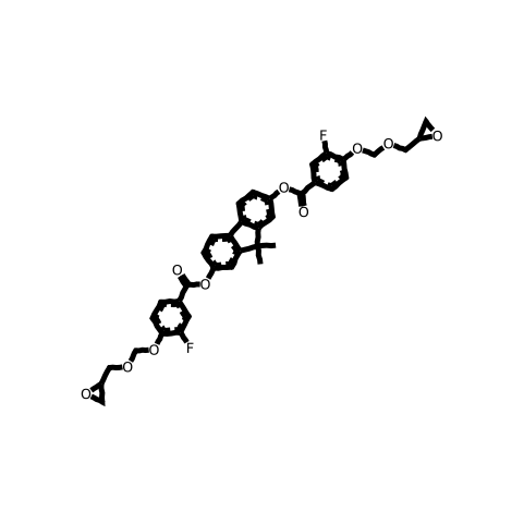 CC1(C)c2cc(OC(=O)c3ccc(OCOCC4CO4)c(F)c3)ccc2-c2ccc(OC(=O)c3ccc(OCOCC4CO4)c(F)c3)cc21